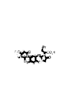 CC(C)CC(C(=O)O)N1C(=O)CSC1=Nc1cc(-n2c(=O)cc(C(F)(F)F)n(C)c2=O)c(F)cc1Cl